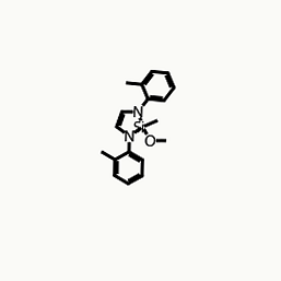 CO[Si]1(C)N(c2ccccc2C)C=CN1c1ccccc1C